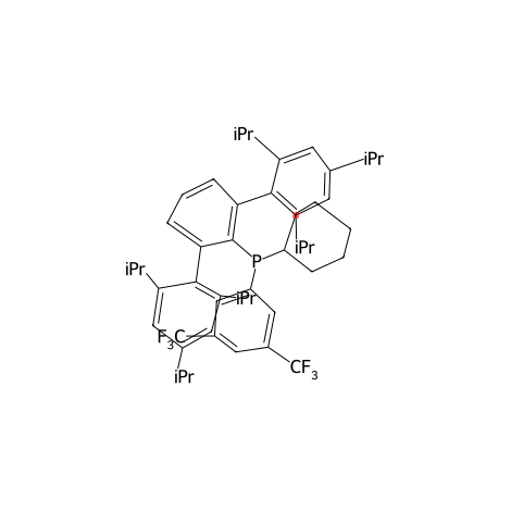 CC(C)c1cc(C(C)C)c(-c2cccc(-c3c(C(C)C)cc(C(C)C)cc3C(C)C)c2P(c2cc(C(F)(F)F)cc(C(F)(F)F)c2)C2CCCCC2)c(C(C)C)c1